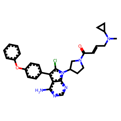 CN(CC=CC(=O)N1CCC(n2c(Cl)c(-c3ccc(Oc4ccccc4)cc3)c3c(N)ncnc32)C1)C1CC1